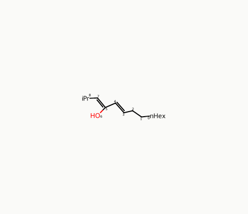 CCCCCCCCC=CC(O)=CC(C)C